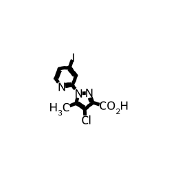 Cc1c(Cl)c(C(=O)O)nn1-c1cc(I)ccn1